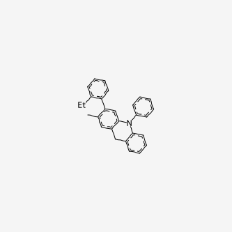 CCc1ccccc1-c1cc2c(cc1C)Cc1ccccc1N2c1ccccc1